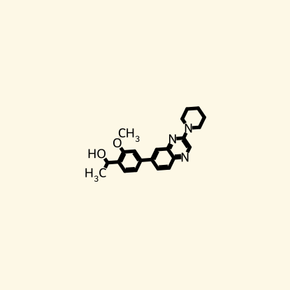 COc1cc(-c2ccc3ncc(N4CCCCC4)nc3c2)ccc1C(C)O